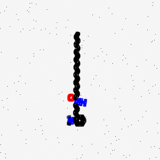 CCCCCCCCCCCCCCCCCC(=O)NCCCc1ccccc1N(C)C